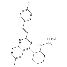 Cc1ccc2nc(/C=C/c3ccc(Cl)cc3)nc(C3CCCCC3NN)c2c1.Cl.Cl